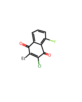 CCC1=C(Cl)C(=O)c2c(F)cccc2C1=O